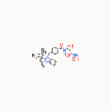 CC(C)(C)c1nc2ccccc2n1Cc1ccc(C(=O)N[C@@H]2COC[C@@H]2C(=O)NO)cc1